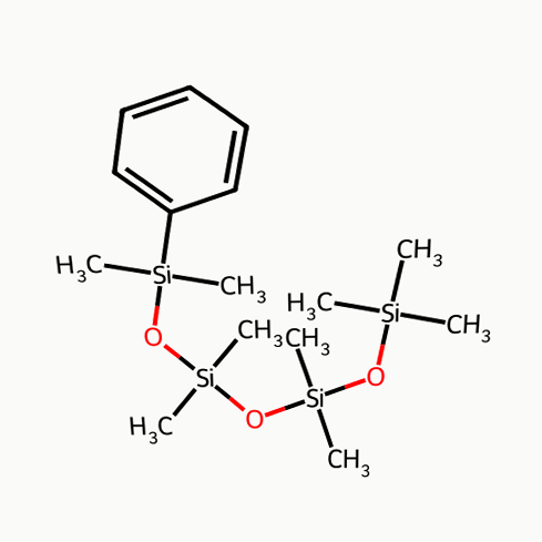 C[Si](C)(C)O[Si](C)(C)O[Si](C)(C)O[Si](C)(C)c1ccccc1